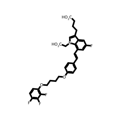 O=C(O)CCCc1cn(CC(=O)O)c2c(C=Cc3ccc(OCCCCOc4ccc(F)c(F)c4F)cc3)cc(F)cc12